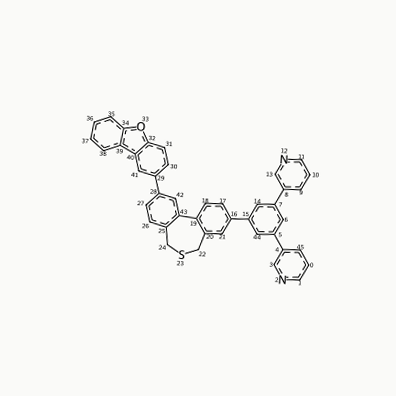 c1cncc(-c2cc(-c3cccnc3)cc(-c3ccc4c(c3)CSCc3ccc(-c5ccc6oc7ccccc7c6c5)cc3-4)c2)c1